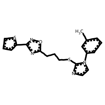 Cc1cccc(-n2ccnc2SCCCc2nc(-c3cccs3)no2)c1